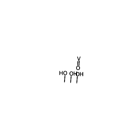 CO.CO.CO.[O]=[V]